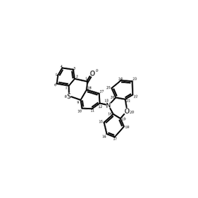 O=c1c2ccccc2sc2ccc(N3c4ccccc4Oc4ccccc43)cc12